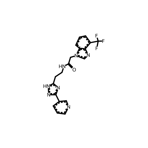 O=C(Cn1cnc2c(C(F)(F)F)cccc21)NCCc1nc(-c2cccnc2)n[nH]1